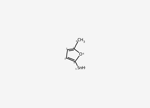 Cc1cc[c]([SnH])o1